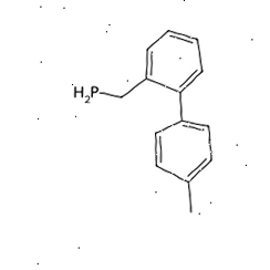 Cc1ccc(-c2ccccc2CP)cc1